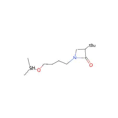 C[SiH](C)OCCCCN1CC(C(C)(C)C)C1=O